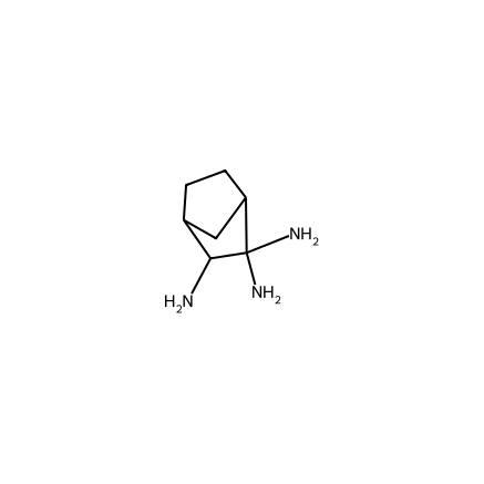 NC1C2CCC(C2)C1(N)N